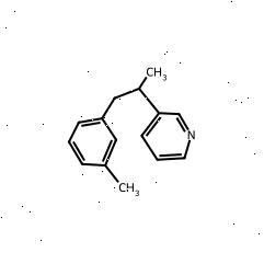 Cc1cccc(CC(C)c2cccnc2)c1